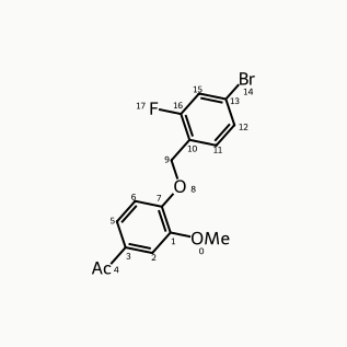 COc1cc(C(C)=O)ccc1OCc1ccc(Br)cc1F